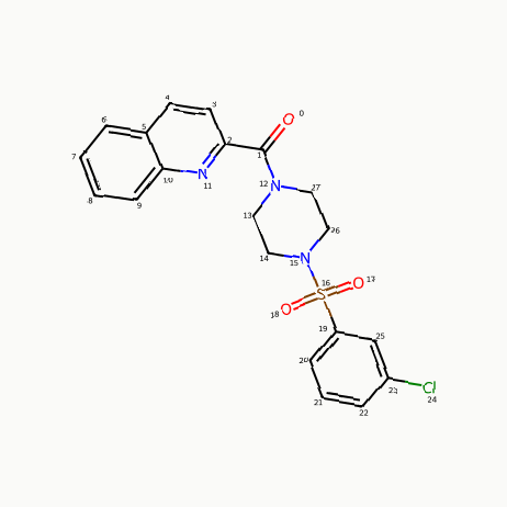 O=C(c1ccc2ccccc2n1)N1CCN(S(=O)(=O)c2cccc(Cl)c2)CC1